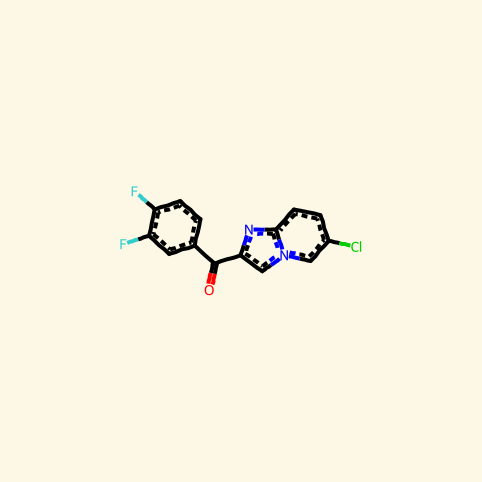 O=C(c1ccc(F)c(F)c1)c1cn2cc(Cl)ccc2n1